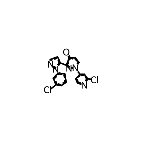 O=c1ccn(-c2ccnc(Cl)c2)nc1-c1ccnn1-c1cccc(Cl)c1